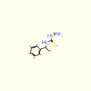 CC(NC(=S)NN)c1ccccc1